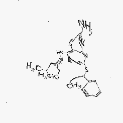 CCC(Sc1nc(N[C@@H](CO)CC(C)C)c2sc(N)nc2n1)c1ccccc1